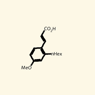 CCCCCCc1cc(OC)ccc1C=CC(=O)O